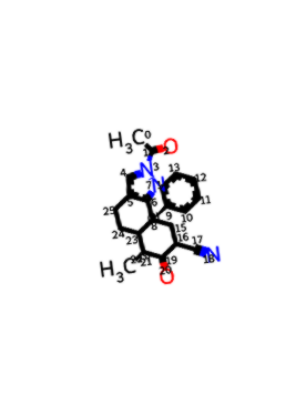 CC(=O)n1cc2c(n1)[C@]1(c3ccccc3)CC(C#N)C(=O)[C@@H](C)C1CC2